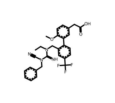 CCN(Cc1cc(C(F)(F)F)ccc1-c1cc(CC(=O)O)ccc1OC)C(=N)N(C#N)Cc1ccccc1